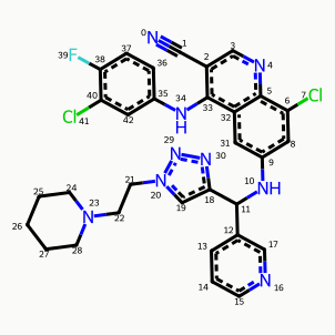 N#Cc1cnc2c(Cl)cc(NC(c3cccnc3)c3cn(CCN4CCCCC4)nn3)cc2c1Nc1ccc(F)c(Cl)c1